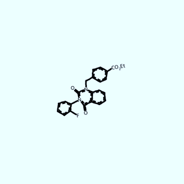 CCOC(=O)c1ccc(Cn2c(=O)n(-c3ccccc3F)c(=O)c3ccccc32)cc1